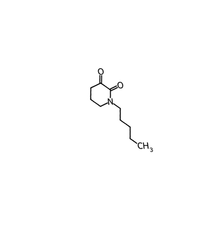 CCCCCN1CCCC(=O)C1=O